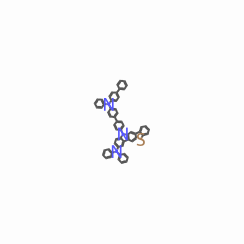 c1ccc(-c2ccc(N(c3ccccc3)c3ccc(-c4ccc(-n5c6ccc(N(c7ccccc7)c7ccccc7)cc6c6cc7sc8ccccc8c7cc65)cc4)cc3)cc2)cc1